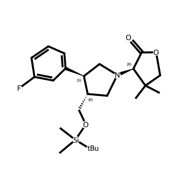 CC1(C)COC(=O)[C@@H]1N1C[C@H](CO[Si](C)(C)C(C)(C)C)[C@@H](c2cccc(F)c2)C1